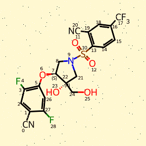 N#Cc1cc(F)c(O[C@H]2CN(S(=O)(=O)c3ccc(C(F)(F)F)cc3C#N)C[C@@]2(O)CO)cc1F